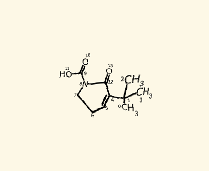 CC(C)(C)C1=CCCN(C(=O)O)C1=O